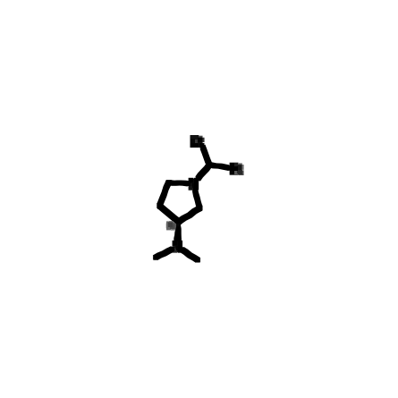 CCC(CC)N1CC[C@H](N(C)C)C1